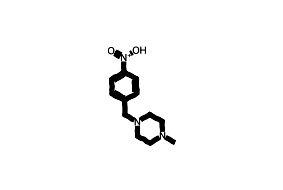 CN1CCN(Cc2ccc([N+](=O)O)cc2)CC1